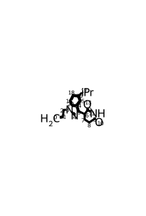 C=CCn1nc(C2CCC(=O)NC2=O)c2cc(C(C)C)ccc21